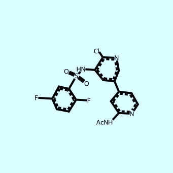 CC(=O)Nc1cc(-c2cnc(Cl)c(NS(=O)(=O)c3cc(F)ccc3F)c2)ccn1